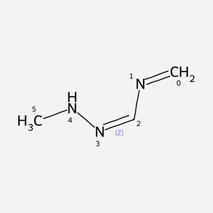 C=N/C=N\NC